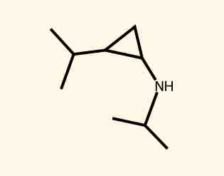 CC(C)NC1CC1C(C)C